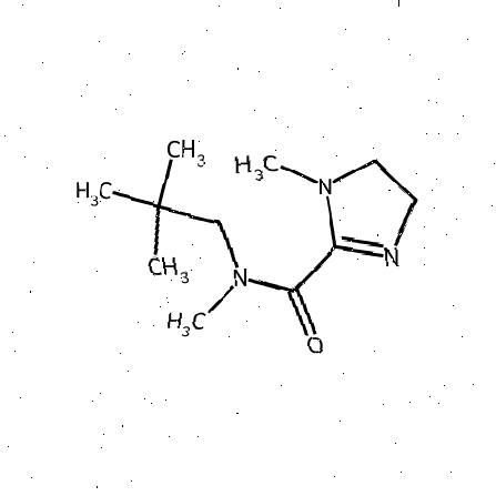 CN(CC(C)(C)C)C(=O)C1=NCCN1C